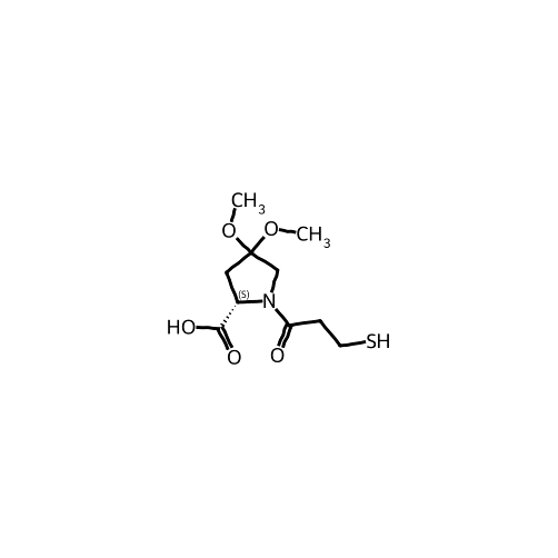 COC1(OC)C[C@@H](C(=O)O)N(C(=O)CCS)C1